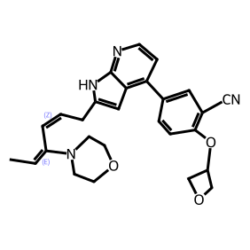 C/C=C(\C=C/Cc1cc2c(-c3ccc(OC4COC4)c(C#N)c3)ccnc2[nH]1)N1CCOCC1